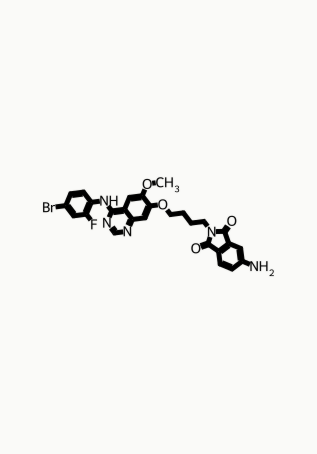 COc1cc2c(Nc3ccc(Br)cc3F)ncnc2cc1OCCCCN1C(=O)c2ccc(N)cc2C1=O